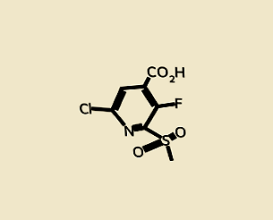 CS(=O)(=O)c1nc(Cl)cc(C(=O)O)c1F